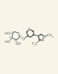 Cn1cc(-c2cncc(O[C@H]3SC[C@@H](O)[C@H](O)[C@H]3O)c2)c(C(F)(F)F)n1